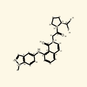 Cn1ncc2cc(Nc3cccc4ccn(CC(=O)N5CCC[C@H]5C(F)F)c(=O)c34)ccc21